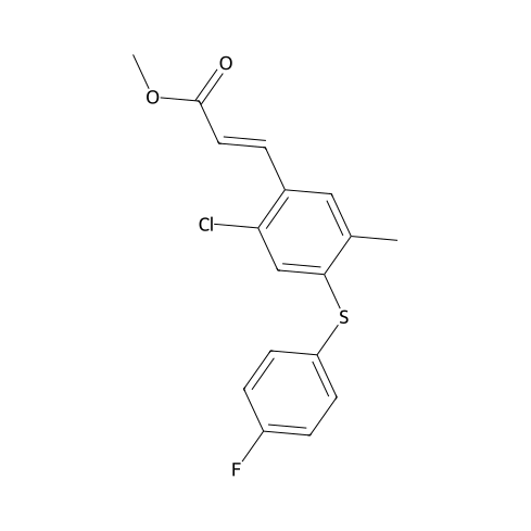 COC(=O)/C=C/c1cc(C)c(Sc2ccc(F)cc2)cc1Cl